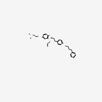 CCCCn1c(CCc2ccc(OCCCCc3ccc(OC)cc3)cc2)nc2ccc(OCCCN(CC)CC)cc21